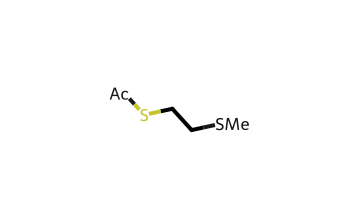 CSCCSC(C)=O